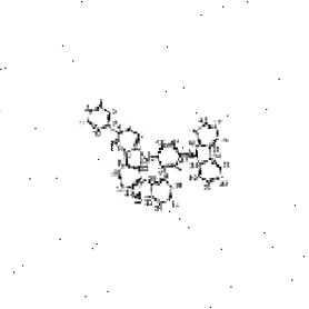 c1ccc(-c2ccc3c(n2)c2ccc4sc5ccccc5c4c2n3-c2ccc(-n3c4ccccc4c4ccccc43)cc2)cc1